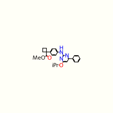 COC(=O)C1(c2ccc(Nc3nc(OC(C)C)cc(-c4ccccc4)n3)cc2)CCC1